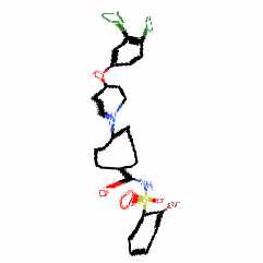 O=C(NS(=O)(=O)c1ccccc1Br)C1CCC(N2CCC(Oc3ccc(Cl)c(Cl)c3)CC2)CC1